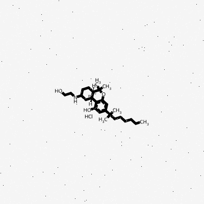 CCCCCCC(C)(C)c1cc(O)c2c(c1)OC(C)(C)[C@@H]1CCC(NCCO)C[C@@H]21.Cl